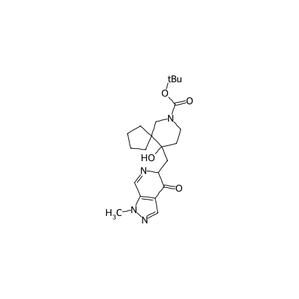 Cn1ncc2c1C=NC(CC1(O)CCN(C(=O)OC(C)(C)C)CC13CCCC3)C2=O